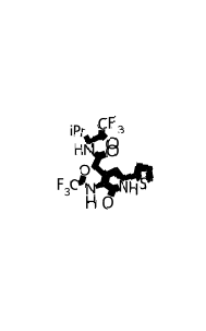 CC(C)C(NC(=O)Cc1cc(-c2cccs2)[nH]c(=O)c1NC(=O)C(F)(F)F)C(=O)C(F)(F)F